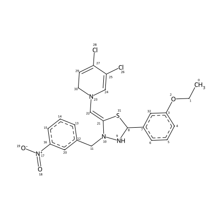 CCOc1cccc(C2NN(Cc3cccc([N+](=O)[O-])c3)C(=CN3C=C(Cl)C(Cl)=CC3)S2)c1